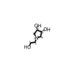 OCCN1C[C@@H](O)[C@H](O)C1